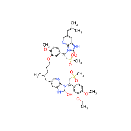 CCOc1cc([C@@H](CS(C)(=O)=O)N2c3ncc(CC(C)CCCOc4cc([C@@H](CS(C)(=O)=O)n5c(=O)[nH]c6cc(C=C(C)C)cnc65)ccc4OC)cc3NC2O)ccc1OC